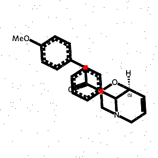 COc1ccc(CC(=O)N2CN3CC=C[C@H](O2)C3c2ccccc2)cc1